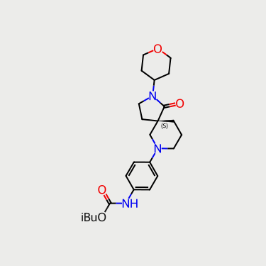 CC(C)COC(=O)Nc1ccc(N2CCC[C@]3(CCN(C4CCOCC4)C3=O)C2)cc1